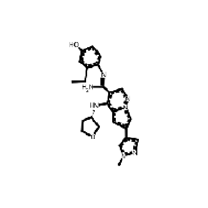 CCc1cc(O)ccc1/N=C(\N)c1cnn2cc(-c3cnn(C)c3)cc2c1N[C@H]1CCOC1